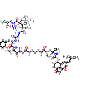 CCC(C)(C)CC(C)(CC(C)(C(=O)NCC(=O)N[C@@H](Cc1ccccc1)C(=O)N[C@@H](CC(C)C)C(=O)NCC(=O)NCCCNC(=O)OCC(C)(C)NC(=O)OC1CC[C@]2(CO2)C(C2(C)O[C@@H]2CC=C(C)C)C1OC)C(C)(C)C)C(=O)NCC(C)O